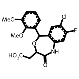 COc1cccc(C2OC(CC(=O)O)C(=O)Nc3cc(F)c(Cl)cc32)c1OC